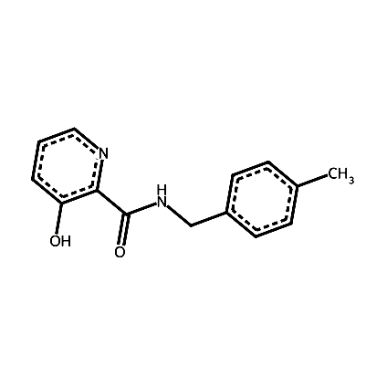 Cc1ccc(CNC(=O)c2ncccc2O)cc1